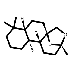 CC1(C)CCC[C@@]2(C)[C@H]1CC[C@]13CO[C@](C)(CC[C@@H]12)O3